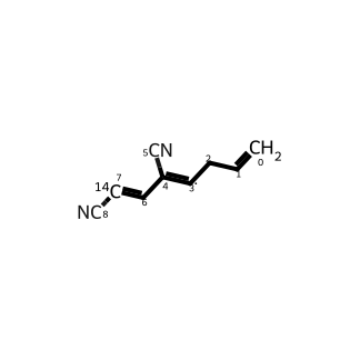 C=CC/[C]=C(\C#N)C=[14CH]C#N